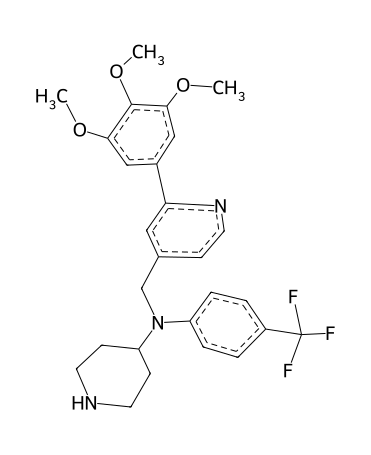 COc1cc(-c2cc(CN(c3ccc(C(F)(F)F)cc3)C3CCNCC3)ccn2)cc(OC)c1OC